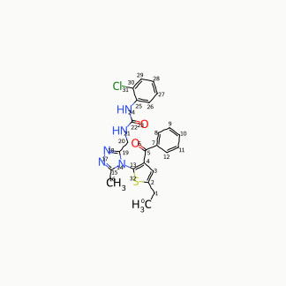 CCc1cc(C(=O)c2ccccc2)c(-n2c(C)nnc2CNC(=O)Nc2ccccc2Cl)s1